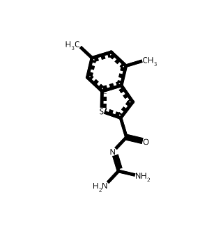 Cc1cc(C)c2cc(C(=O)N=C(N)N)sc2c1